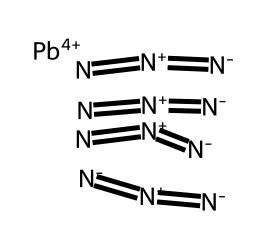 [N-]=[N+]=[N-].[N-]=[N+]=[N-].[N-]=[N+]=[N-].[N-]=[N+]=[N-].[Pb+4]